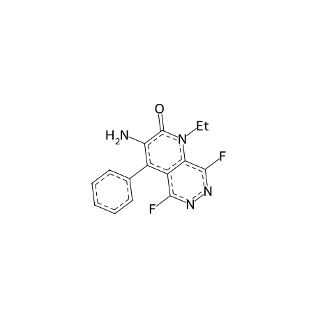 CCn1c(=O)c(N)c(-c2ccccc2)c2c(F)nnc(F)c21